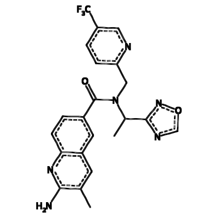 Cc1cc2cc(C(=O)N(Cc3ccc(C(F)(F)F)cn3)C(C)c3ncon3)ccc2nc1N